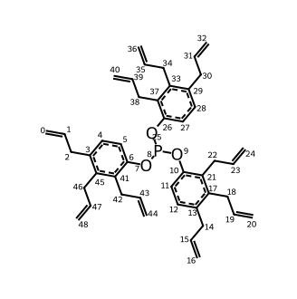 C=CCc1ccc(OP(Oc2ccc(CC=C)c(CC=C)c2CC=C)Oc2ccc(CC=C)c(CC=C)c2CC=C)c(CC=C)c1CC=C